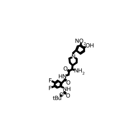 CC(C)(C)OC(=O)Nc1cc(F)c(F)cc1C(=O)NCC(=O)C(N)C1CCN(Cc2ccc(O)c([N+](=O)[O-])c2)CC1